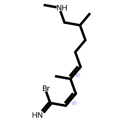 CNCC(C)CC/C=C(C)/C=C\C(=N)Br